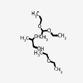 CC(O)CO.CCOC(C)OCC.CCOCC